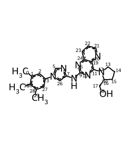 Cc1cc(-n2cnc(Nc3nc(N4CCC[C@H]4CO)c4ncccc4n3)c2)cc(C)c1C